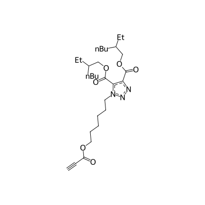 C#CC(=O)OCCCCCCn1nnc(C(=O)OCC(CC)CCCC)c1C(=O)OCC(CC)CCCC